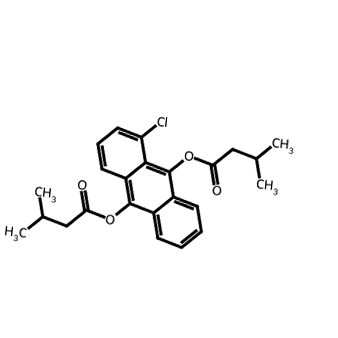 CC(C)CC(=O)Oc1c2ccccc2c(OC(=O)CC(C)C)c2c(Cl)cccc12